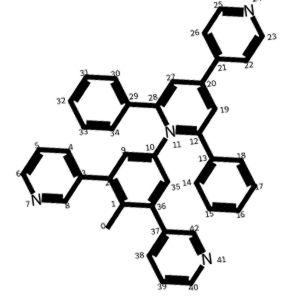 Cc1c(-c2cccnc2)cc(-[n+]2c(-c3ccccc3)cc(-c3ccncc3)cc2-c2ccccc2)cc1-c1cccnc1